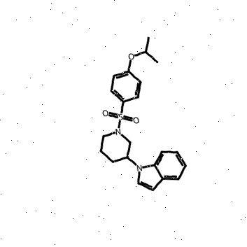 CC(C)Oc1ccc(S(=O)(=O)N2CCCC(n3ccc4ccccc43)C2)cc1